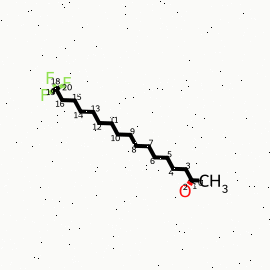 CC(=O)CCCCCCCCCCCCCCC(F)(F)F